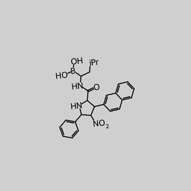 CC(C)CC(NC(=O)C1NC(c2ccccc2)C([N+](=O)[O-])C1c1ccc2ccccc2c1)B(O)O